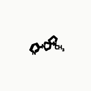 CN1CCCC12CCN(c1cccnc1)C2